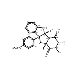 COc1ccc([C@]23C[C@@]4(C)C(=O)N(C)[C@@H](C)C(=O)N4[C@H]2Nc2ccccc23)cc1